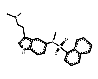 CN(C)CCc1c[nH]c2ccc(N(C)S(=O)(=O)c3cccc4ccccc34)cc12